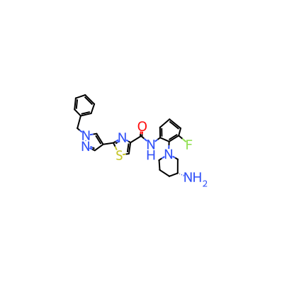 N[C@@H]1CCCN(c2c(F)cccc2NC(=O)c2csc(-c3cnn(Cc4ccccc4)c3)n2)C1